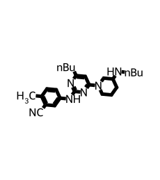 CCCCNC1CCCN(c2cc(CCCC)nc(Nc3ccc(C)c(C#N)c3)n2)C1